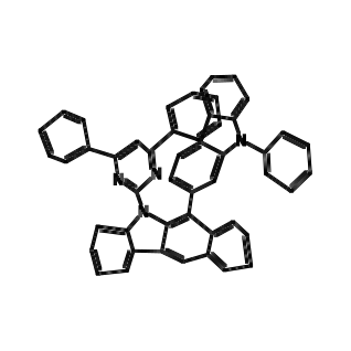 c1ccc(-c2cc(-c3ccccc3)nc(-n3c4ccccc4c4cc5ccccc5c(-c5ccc6c7ccccc7n(-c7ccccc7)c6c5)c43)n2)cc1